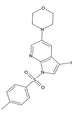 Cc1ccc(S(=O)(=O)n2cc(I)c3cc(N4CCOCC4)cnc32)cc1